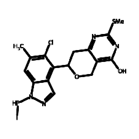 CSc1nc(O)c2c(n1)CC(c1c(Cl)c(C)cc3c1cnn3PI)OC2